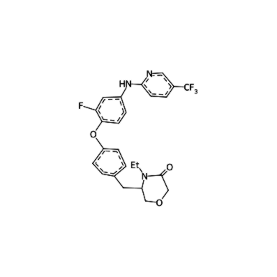 CCN1C(=O)COCC1Cc1ccc(Oc2ccc(Nc3ccc(C(F)(F)F)cn3)cc2F)cc1